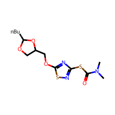 CCCCC1OCC(COc2nc(SC(=O)N(C)C)ns2)O1